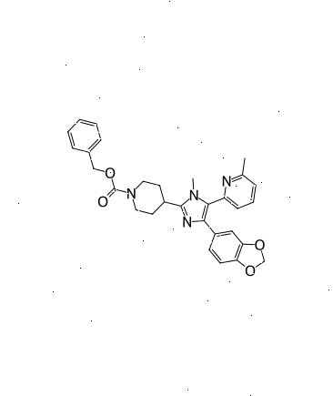 Cc1cccc(-c2c(-c3ccc4c(c3)OCO4)nc(C3CCN(C(=O)OCc4ccccc4)CC3)n2C)n1